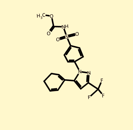 COC(=O)NS(=O)(=O)c1ccc(-n2nc(C(F)(F)F)cc2C2=CCCC=C2)cc1